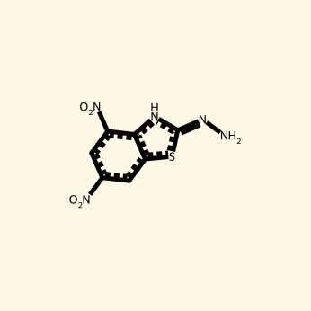 NN=c1[nH]c2c([N+](=O)[O-])cc([N+](=O)[O-])cc2s1